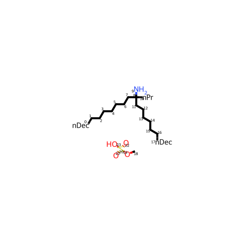 CCCCCCCCCCCCCCCCCC(N)(CCC)CCCCCCCCCCCCCCCC.COS(=O)(=O)O